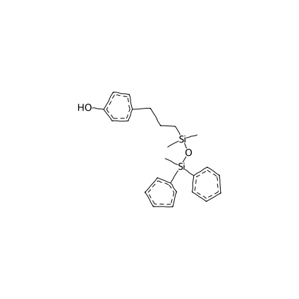 C[Si](C)(CCCc1ccc(O)cc1)O[Si](C)(c1ccccc1)c1ccccc1